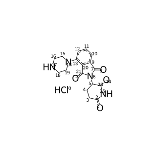 Cl.O=C1CCC(N2C(=O)c3cccc(N4CCNCC4)c3C2=O)C(=O)N1